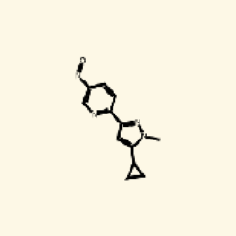 Cn1nc(-c2ccc(N=O)cn2)cc1C1CC1